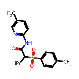 CC(C)C(C(=O)Nc1ccc(C(F)(F)F)cn1)S(=O)(=O)c1ccc(C(F)(F)F)cc1